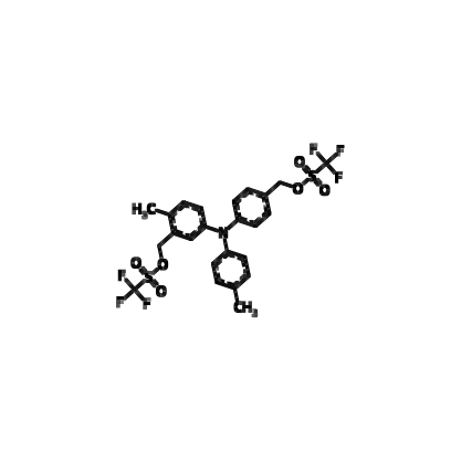 Cc1ccc(N(c2ccc(COS(=O)(=O)C(F)(F)F)cc2)c2ccc(C)c(COS(=O)(=O)C(F)(F)F)c2)cc1